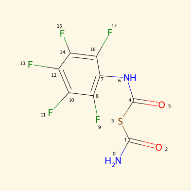 NC(=O)SC(=O)Nc1c(F)c(F)c(F)c(F)c1F